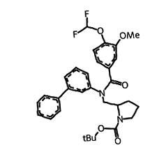 COc1cc(C(=O)N(CC2CCCN2C(=O)OC(C)(C)C)c2cccc(-c3ccccc3)c2)ccc1OC(F)F